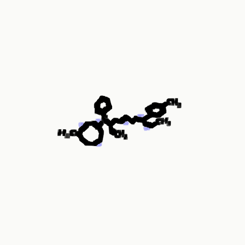 C=CC(C/C=C/C/C=C(\C=C/C)c1ccc(C)cc1)N(/C1=C/C=C\C(=C)CC/C=C\C1)c1ccccc1